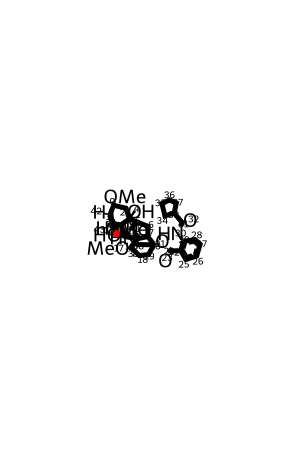 CO[C@H]1C[C@]2(O)C3CC4C5(C6C[C@H]1[C@H](OC)[C@@]62O)[C@@H](OC)CC[C@@]4(OC(=O)c1ccccc1NC(=O)C1CCCC1)[C@H](C)NN35